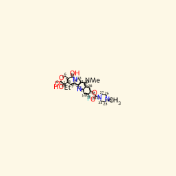 CC[C@@]1(O)C(=O)OCC2=C1C=C1c3nc4cc(F)c(OC(=O)N5CCN(C)CC5)cc4c(NC)c3CN1C2O